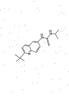 CC(C)NC(=S)Nc1ccc2nc(C(C)(C)C)ccc2c1